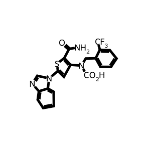 NC(=O)c1sc(-n2cnc3ccccc32)cc1N(Cc1ccccc1C(F)(F)F)C(=O)O